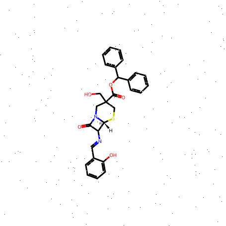 O=C1C(N=Cc2ccccc2O)[C@H]2SCC(CO)(C(=O)OC(c3ccccc3)c3ccccc3)CN12